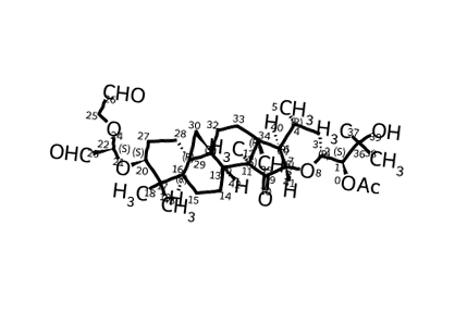 CC(=O)O[C@@H]([C@H]1C[C@@H](C)[C@H]2[C@H](O1)C(=O)[C@@]1(C)[C@@H]3CC[C@H]4C(C)(C)[C@@H](O[C@@H](C=O)OCC=O)CC[C@@]45C[C@@]35CC[C@]21C)C(C)(C)O